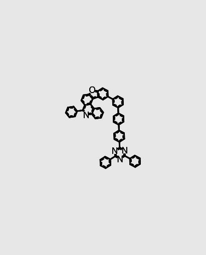 c1ccc(-c2nc(-c3ccccc3)nc(-c3ccc(-c4ccc(-c5cccc(-c6ccc7oc8ccc9c(-c%10ccccc%10)nc%10ccccc%10c9c8c7c6)c5)cc4)cc3)n2)cc1